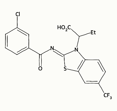 CCC(C(=O)O)n1c(=NC(=O)c2cccc(Cl)c2)sc2cc(C(F)(F)F)ccc21